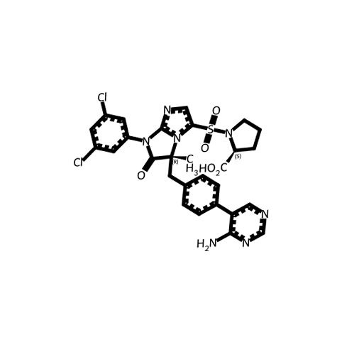 C[C@@]1(Cc2ccc(-c3cncnc3N)cc2)C(=O)N(c2cc(Cl)cc(Cl)c2)c2ncc(S(=O)(=O)N3CCC[C@H]3C(=O)O)n21